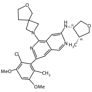 COc1cc(OC)c(Cl)c(-c2cc3cnc(N[C@@H]4COC[C@@H]4C)cc3c(N3CC4(CCOC4)C3)n2)c1C